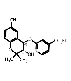 CCOC(=O)c1ccnc(O[C@@H]2c3cc(C#N)ccc3OC(C)(C)[C@H]2O)c1